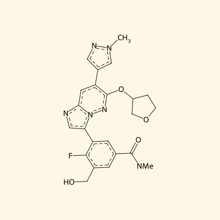 CNC(=O)c1cc(CO)c(F)c(-c2cnc3cc(-c4cnn(C)c4)c(OC4CCOC4)nn23)c1